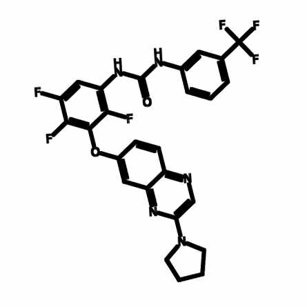 O=C(Nc1cccc(C(F)(F)F)c1)Nc1cc(F)c(F)c(Oc2ccc3ncc(N4CCCC4)nc3c2)c1F